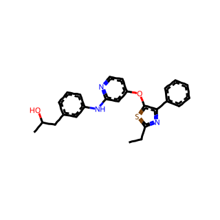 CCc1nc(-c2ccccc2)c(Oc2ccnc(Nc3cccc(CC(C)O)c3)c2)s1